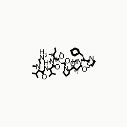 CC[C@H](C)[C@@H]([C@@H](CC(=O)N1CCCC1[C@H](OC)[C@@H](C)C(=O)N[C@@H](Cc1ccccc1)c1nccs1)OC)N(C)C(=O)C(NC(=O)C(C(C)C)N(C)CCN)C(C)C